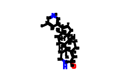 Cc1cncc(C2=CC[C@H]3[C@@H]4CCC5=CC(=O)NCC[C@]5(C)[C@H]4CC[C@]23C)c1